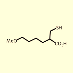 COCCCCC(CS)C(=O)O